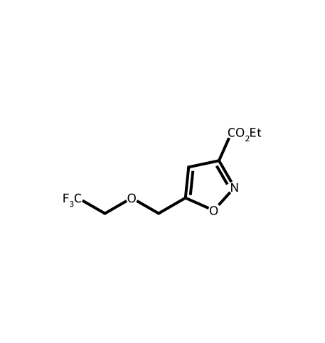 CCOC(=O)c1cc(COCC(F)(F)F)on1